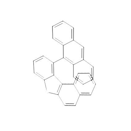 c1ccc2c(-c3cccc4oc5ccc6ccccc6c5c34)c3ccccc3cc2c1